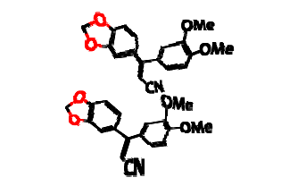 COc1ccc(C(=CC#N)c2ccc3c(c2)OCO3)cc1OC.COc1ccc(C(=CC#N)c2ccc3c(c2)OCO3)cc1OC